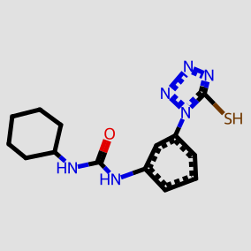 O=C(Nc1cccc(-n2nnnc2S)c1)NC1CCCCC1